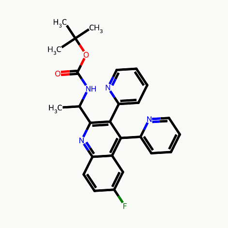 CC(NC(=O)OC(C)(C)C)c1nc2ccc(F)cc2c(-c2ccccn2)c1-c1ccccn1